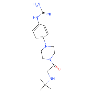 CC(C)(C)NCC(=O)N1CCN(c2ccc(NC(=N)N)cc2)CC1